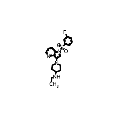 CCNC1CCN(c2cn(S(=O)(=O)c3cccc(F)c3)c3cccnc23)CC1